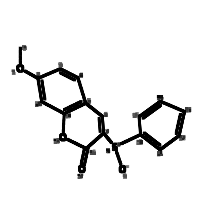 COc1ccc2cc([S+]([O-])c3ccccc3)c(=O)oc2c1